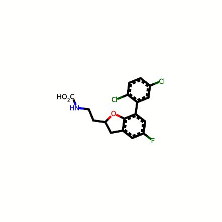 O=C(O)NCCC1Cc2cc(F)cc(-c3cc(Cl)ccc3Cl)c2O1